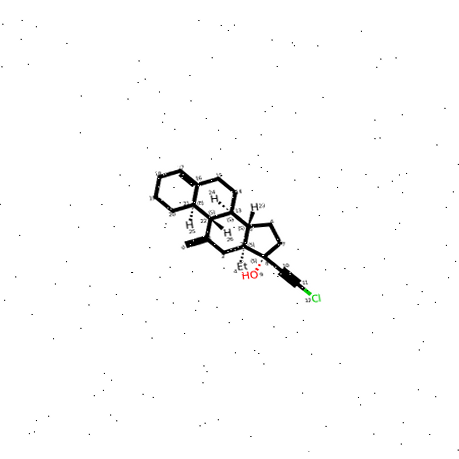 C=C1C[C@@]2(CC)[C@@H](CC[C@@]2(O)C#CCl)[C@@H]2CCC3=CCCC[C@@H]3[C@@H]12